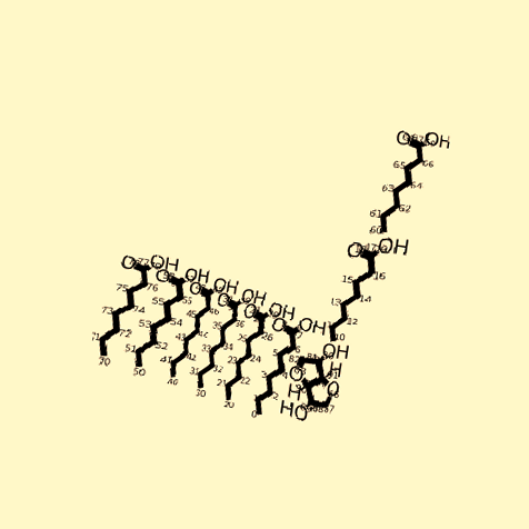 CCCCCCCC(=O)O.CCCCCCCC(=O)O.CCCCCCCC(=O)O.CCCCCCCC(=O)O.CCCCCCCC(=O)O.CCCCCCCC(=O)O.CCCCCCCC(=O)O.CCCCCCCC(=O)O.O[C@@H]1CO[C@H]2[C@@H]1OC[C@@H]2O